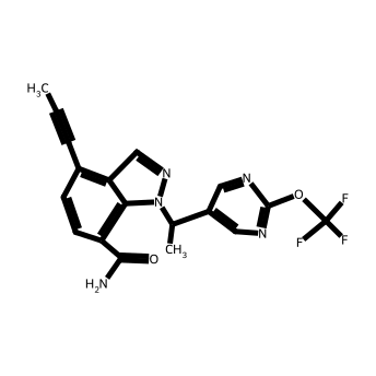 CC#Cc1ccc(C(N)=O)c2c1cnn2C(C)c1cnc(OC(F)(F)F)nc1